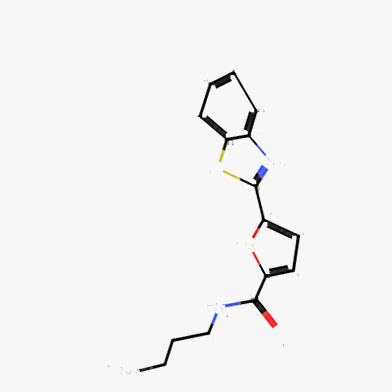 CC(=O)NCCCNC(=O)c1ccc(-c2nc3ccccc3s2)o1